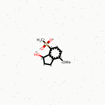 COc1ccc(S(C)(=O)=O)c2c1CCC2O